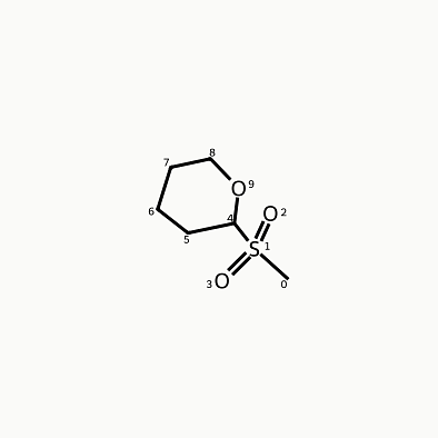 CS(=O)(=O)C1CCCCO1